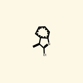 C=C1C(CC)=Nc2ccccc21